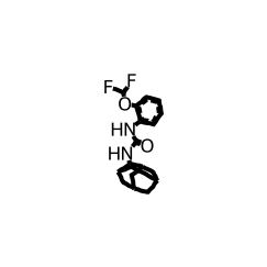 O=C(Nc1ccccc1OC(F)F)NC1C2CC3CC(C2)CC1C3